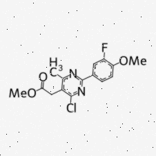 COC(=O)Cc1c(C)nc(-c2ccc(OC)c(F)c2)nc1Cl